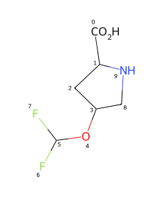 O=C(O)C1CC(OC(F)F)CN1